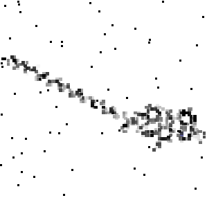 C/N=C(/c1ccc(O)c(N)c1)c1c(N)ncnc1NCc1ccc2c(c1)CCN(C(=O)CCOCCOCCOCCOCCOCCOCCN)C2